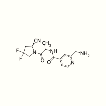 C[C@H](NC(=O)c1ccnc(CN)c1)C(=O)N1CC(F)(F)C[C@H]1C#N